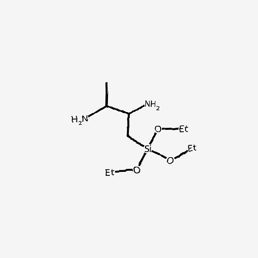 CCO[Si](CC(N)C(C)N)(OCC)OCC